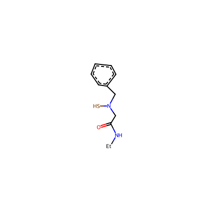 CCNC(=O)CN(S)Cc1ccccc1